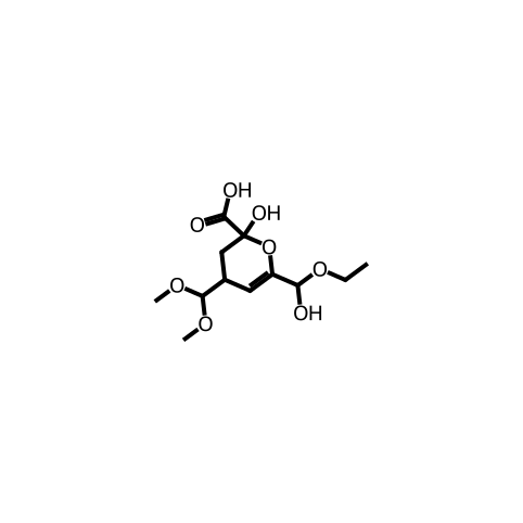 CCOC(O)C1=CC(C(OC)OC)CC(O)(C(=O)O)O1